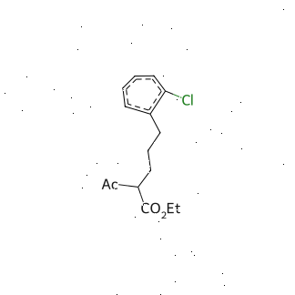 CCOC(=O)C(CCCc1ccccc1Cl)C(C)=O